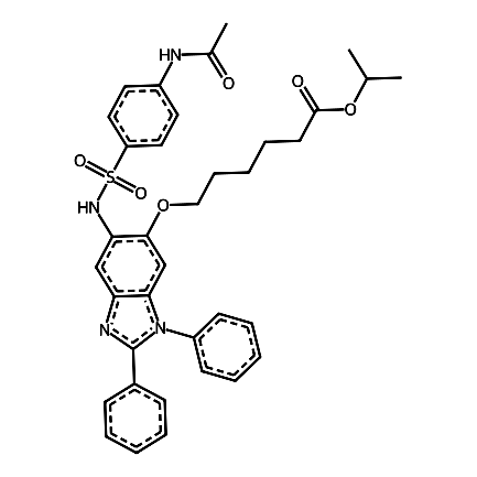 CC(=O)Nc1ccc(S(=O)(=O)Nc2cc3nc(-c4ccccc4)n(-c4ccccc4)c3cc2OCCCCCC(=O)OC(C)C)cc1